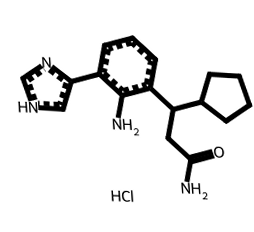 Cl.NC(=O)CC(c1cccc(-c2c[nH]cn2)c1N)C1CCCC1